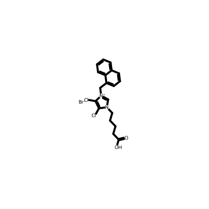 O=C(O)CCCCn1c[n+](Cc2cccc3ccccc23)c(Cl)c1Cl.[Br-]